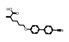 C=C(CCCCOc1ccc(-c2ccc(C#N)cc2)cc1)C(=O)O